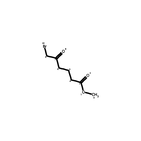 COC(=O)CCCC(=O)CBr